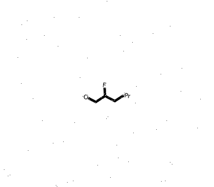 CC(C)CC(F)C[O]